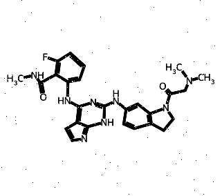 CNC(=O)c1c(F)cccc1Nc1nc(Nc2ccc3c(c2)N(C(=O)CN(C)C)CC3)[nH]c2nccc1-2